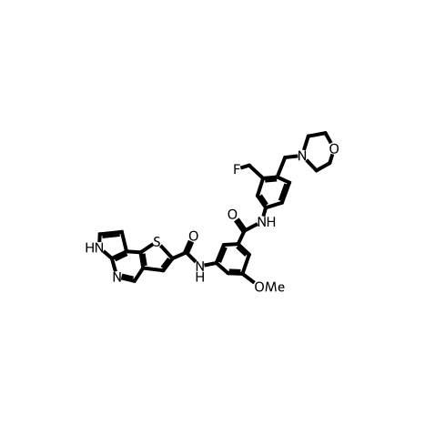 COc1cc(NC(=O)c2cc3cnc4[nH]ccc4c3s2)cc(C(=O)Nc2ccc(CN3CCOCC3)c(CF)c2)c1